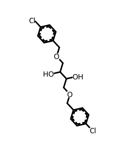 OC(COCc1ccc(Cl)cc1)C(O)COCc1ccc(Cl)cc1